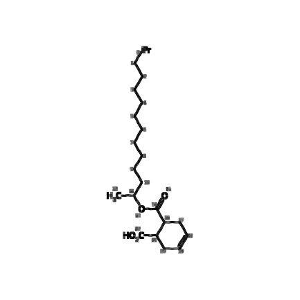 CC(C)CCCCCCCCCCC(C)OC(=O)C1CC=CCC1C(=O)O